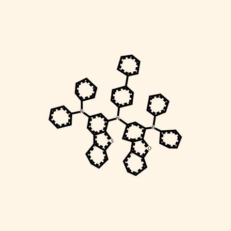 c1ccc(-c2ccc(N(c3cc(N(c4ccccc4)c4ccccc4)c4oc5ccccc5c4c3)c3cc(N(c4ccccc4)c4ccccc4)cc4c3sc3ccccc34)cc2)cc1